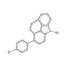 CCn1c2cccc3ccc4c(-c5ccc(Br)cc5)ccc1c4c32